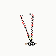 COCCOCCOCCOCCOCCOCCOCCSCCC[Si]1(CCCSCCOCCOCCOCCOCCOCCOCCOC)c2cc(Br)ccc2-c2ccc(Br)cc21